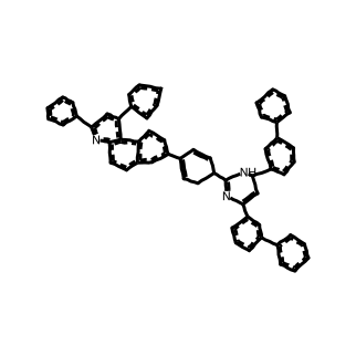 C1=CC(C2=NC(c3cccc(-c4ccccc4)c3)=CC(c3cccc(-c4ccccc4)c3)N2)CC=C1c1ccc2c(ccc3nc(-c4ccccc4)cc(-c4ccccc4)c32)c1